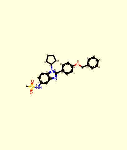 CS(=O)(=O)Nc1ccc2c(c1)nc(-c1ccc(OCc3ccccc3)cc1)n2C1CCCC1